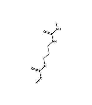 CNC(=O)NCCCOC(=O)OC